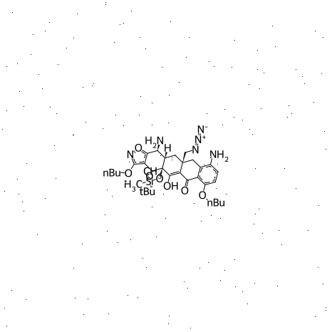 CCCCOc1ccc(N)c2c1C(=O)C1=C(O)[C@]3(O[Si](C)(C)C(C)(C)C)C(=O)c4c(OCCCC)noc4[C@@H](N)[C@@H]3C[C@]1(CN=[N+]=[N-])C2